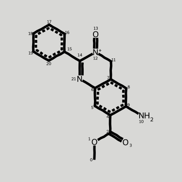 COC(=O)c1cc2c(cc1N)C[N+](=O)C(c1ccccc1)=N2